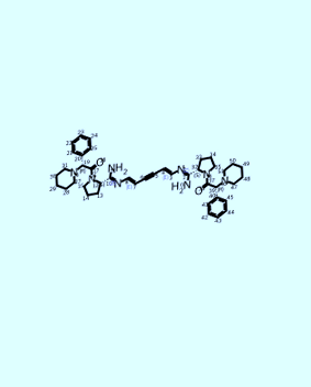 N/C(=N\C=C\C#C/C=C/N=C(\N)[C@@H]1CCCN1C(=O)[C@@H](c1ccccc1)N1CCCCC1)[C@@H]1CCCN1C(=O)[C@@H](c1ccccc1)N1CCCCC1